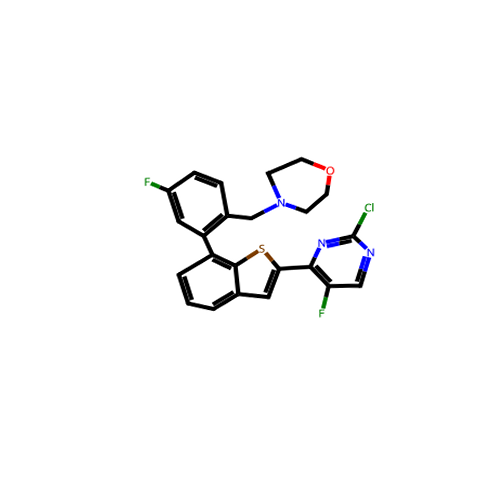 Fc1ccc(CN2CCOCC2)c(-c2cccc3cc(-c4nc(Cl)ncc4F)sc23)c1